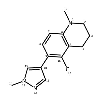 CN1CCCc2c1ccc(-c1cnn(C)c1)c2F